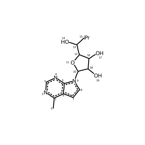 Cc1ncnc2c1ccn2C1OC(C(O)C(C)C)C(O)C1O